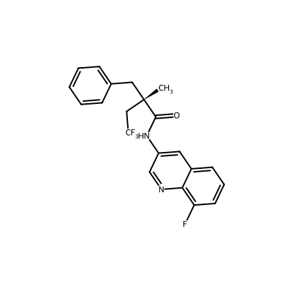 C[C@](Cc1ccccc1)(CC(F)(F)F)C(=O)Nc1cnc2c(F)cccc2c1